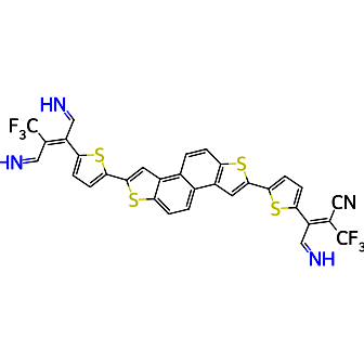 N#C/C(=C(/C=N)c1ccc(-c2cc3c(ccc4c5cc(-c6ccc(/C(C=N)=C(\C=N)C(F)(F)F)s6)sc5ccc34)s2)s1)C(F)(F)F